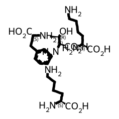 C[C@@H](O)[C@H](N)C(=O)O.NCCCC[C@H](N)C(=O)O.NCCCC[C@H](N)C(=O)O.N[C@@H](Cc1ccccc1)C(=O)O